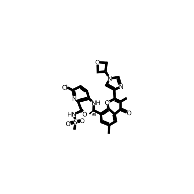 Cc1cc([C@@H](C)Nc2ccc(Cl)nc2C(=O)NS(C)(=O)=O)c2oc(-c3cn(C4COC4)cn3)c(C)c(=O)c2c1